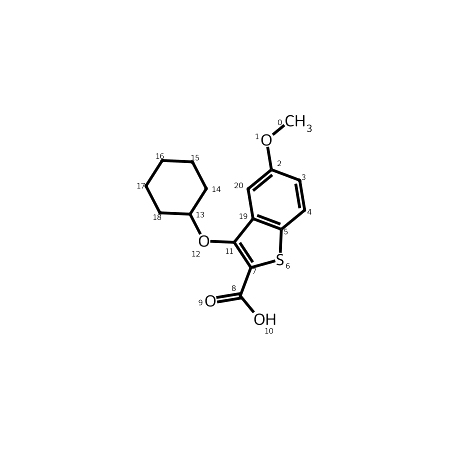 COc1ccc2sc(C(=O)O)c(OC3CCCCC3)c2c1